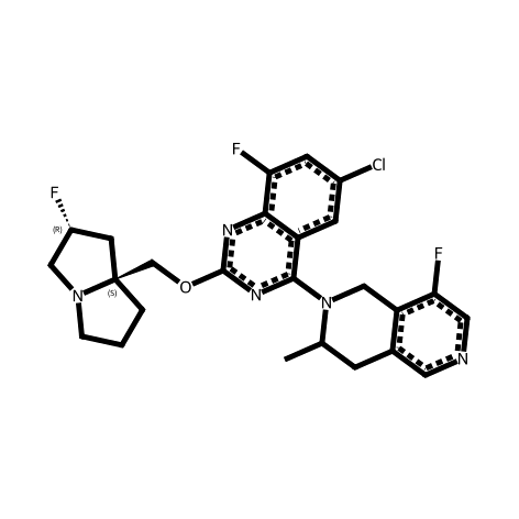 CC1Cc2cncc(F)c2CN1c1nc(OC[C@@]23CCCN2C[C@H](F)C3)nc2c(F)cc(Cl)cc12